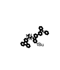 CC(C)(C)c1ccc2c(c1)c1cc(-c3ccc4c(c3)c3ccccc3n4-c3ccccc3)ccc1n2-c1ncnc(-c2ccc3c4ccccc4c4ccccc4c3c2)n1